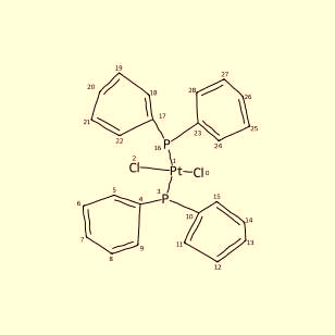 [Cl][Pt]([Cl])([P](c1ccccc1)c1ccccc1)[P](c1ccccc1)c1ccccc1